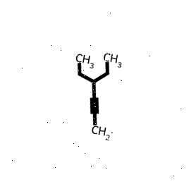 [CH2]C#CC(CC)CC